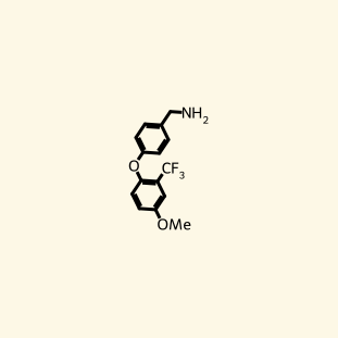 COc1ccc(Oc2ccc(CN)cc2)c(C(F)(F)F)c1